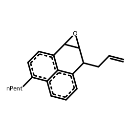 C=CCC1c2cccc3c(CCCCC)ccc(c23)C2OC12